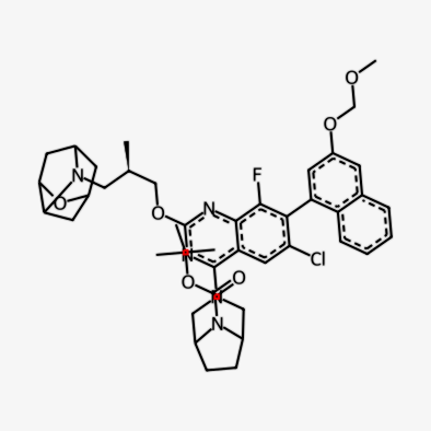 COCOc1cc(-c2c(Cl)cc3c(N4CC5CCC(C4)N5C(=O)OC(C)(C)C)nc(OC[C@H](C)CN4C5CC6CC4C(C5)O6)nc3c2F)c2ccccc2c1